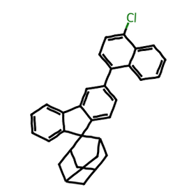 Clc1ccc(-c2ccc3c(c2)-c2ccccc2C32C3CC4CC(C3)CC2C4)c2ccccc12